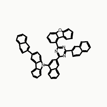 c1ccc2cc(-c3ccc4c(c3)c3ccccc3n4-c3cc(-c4nc(-c5ccc6ccccc6c5)nc(-c5cccc6oc7ccccc7c56)n4)cc4ccccc34)ccc2c1